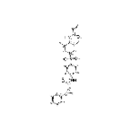 C=CC(=O)NC1C(C)CN(S(=O)(=O)c2ccc(NC(=O)C3CC3c3ccccc3)cc2)CC1C